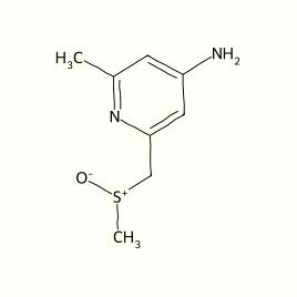 Cc1cc(N)cc(C[S+](C)[O-])n1